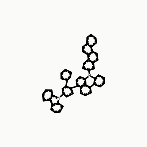 c1ccc(-c2cc(-n3c4ccccc4c4ccccc43)ccc2-c2ccc(N(c3ccc4c(ccc5c6ccccc6ccc45)c3)c3ccccc3-c3ccccc3)cc2)cc1